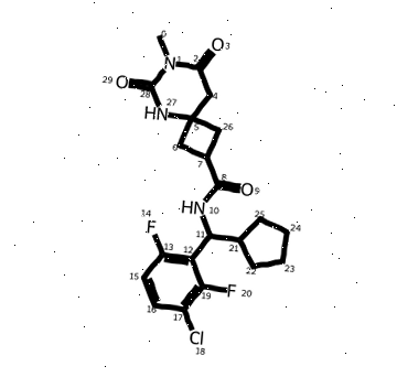 CN1C(=O)CC2(CC(C(=O)NC(c3c(F)ccc(Cl)c3F)C3CCCC3)C2)NC1=O